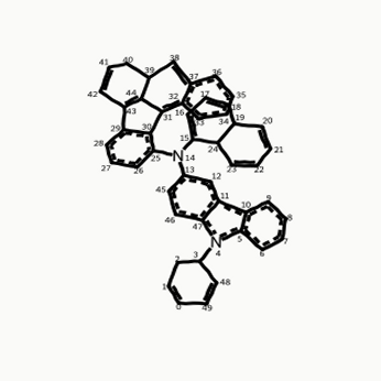 C1=CCC(n2c3ccccc3c3cc(N(C4=CC=CC5C=CC=CC45)c4cccc5c4C4=c6ccccc6=CC6CC=CC5=C46)ccc32)C=C1